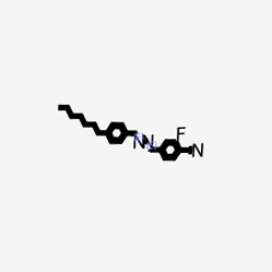 CCCCCCCc1ccc(/C=N/N=C/c2ccc(C#N)c(F)c2)cc1